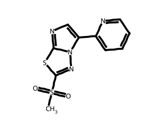 CS(=O)(=O)c1nn2c(-c3ccccn3)cnc2s1